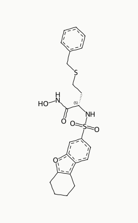 O=C(NO)[C@H](CCSCc1ccccc1)NS(=O)(=O)c1ccc2c3c(oc2c1)CCCC3